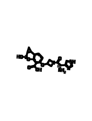 N[C@H](C(=O)N1CC(Oc2ccc3c(c2C(=O)O)OB(O)C2CC32)C1)c1c[nH]cn1